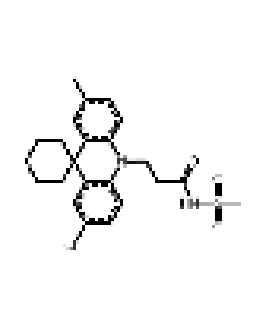 Cc1ccc2c(c1)C1(CCCCC1)c1cc(Cl)ccc1N2CCC(=O)NS(C)(=O)=O